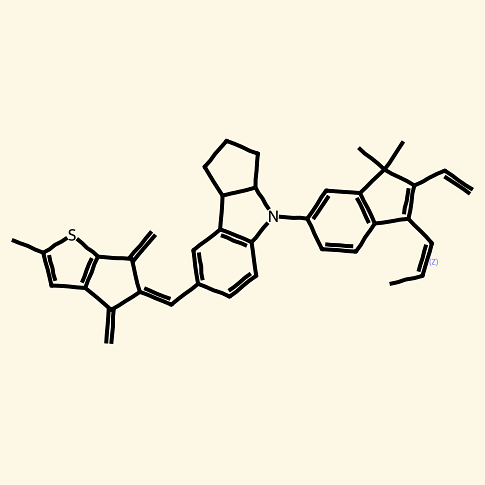 C=CC1=C(/C=C\C)c2ccc(N3c4ccc(C=C5C(=C)c6cc(C)sc6C5=C)cc4C4CCCC43)cc2C1(C)C